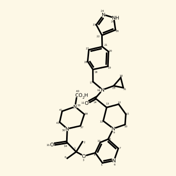 CC(C)(Oc1cncc(N2CCCC(C(=O)N(Cc3ccc(-c4cn[nH]c4)cc3)C3CC3)C2)c1)C(=O)N1CCN(C(=O)O)CC1